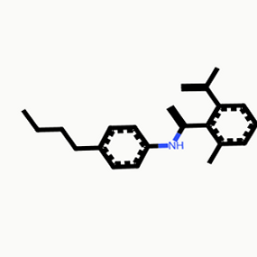 C=C(C)c1cccc(C)c1C(=C)Nc1ccc(CCCC)cc1